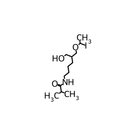 CC(I)OCC(CO)CCCCNC(=O)C(C)C